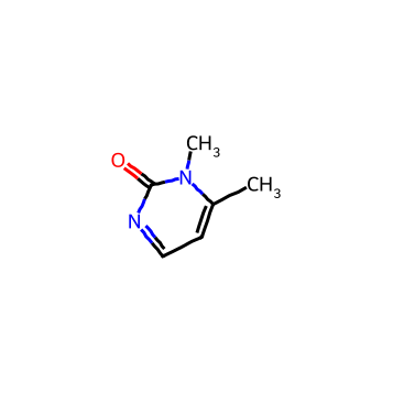 Cc1ccnc(=O)n1C